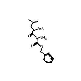 CC(C)CC(N)C(=O)N(N)C(=O)OCc1ccccc1